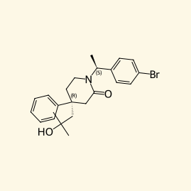 C[C@@H](c1ccc(Br)cc1)N1CC[C@](CC(C)(C)O)(c2ccccc2)CC1=O